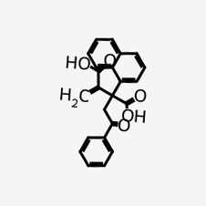 C=C(C(=O)O)C(CC(=O)c1ccccc1)(C(=O)O)c1cccc2ccccc12